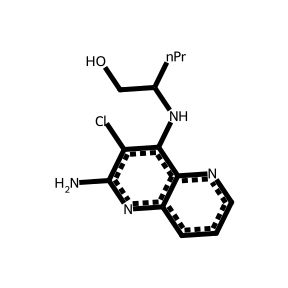 CCCC(CO)Nc1c(Cl)c(N)nc2cccnc12